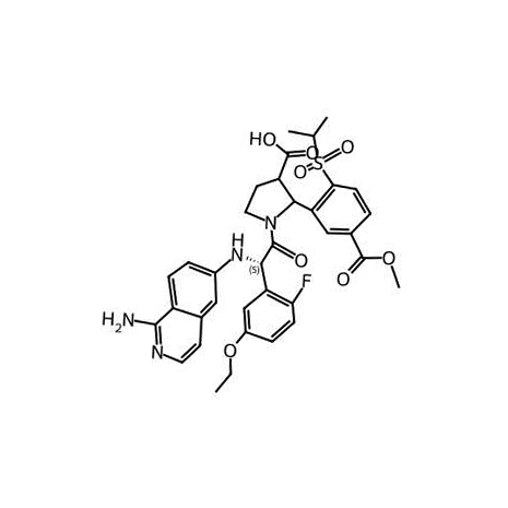 CCOc1ccc(F)c([C@H](Nc2ccc3c(N)nccc3c2)C(=O)N2CCC(C(=O)O)C2c2cc(C(=O)OC)ccc2S(=O)(=O)C(C)C)c1